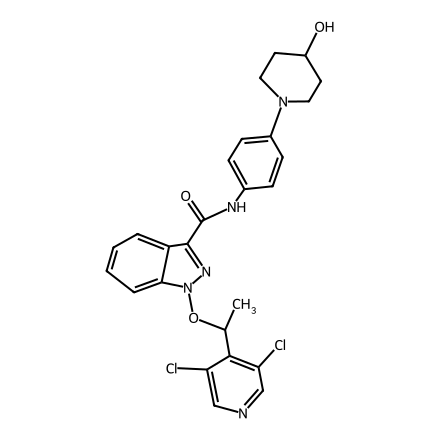 CC(On1nc(C(=O)Nc2ccc(N3CCC(O)CC3)cc2)c2ccccc21)c1c(Cl)cncc1Cl